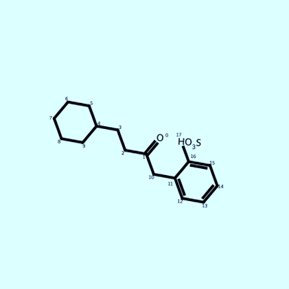 O=C(CCC1CCCCC1)Cc1ccccc1S(=O)(=O)O